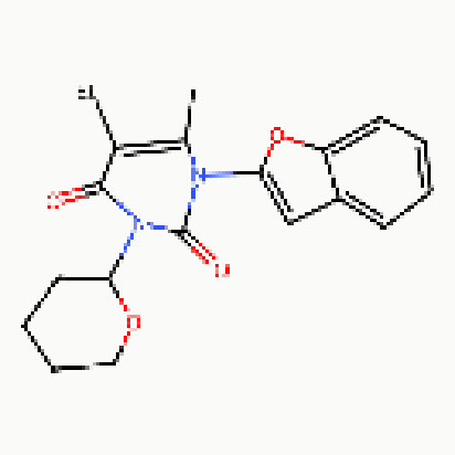 CCc1c(C)n(-c2cc3ccccc3o2)c(=O)n(C2CCCCO2)c1=O